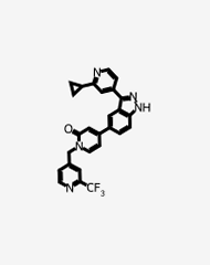 O=c1cc(-c2ccc3[nH]nc(-c4ccnc(C5CC5)c4)c3c2)ccn1Cc1ccnc(C(F)(F)F)c1